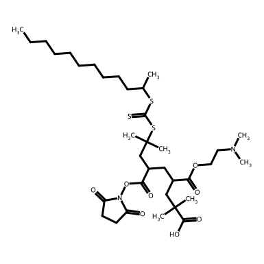 CCCCCCCCCCC(C)SC(=S)SC(C)(C)CC(CC(CC(C)(C)C(=O)O)C(=O)OCCN(C)C)C(=O)ON1C(=O)CCC1=O